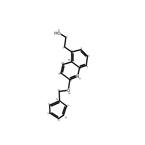 OCCc1cccc2nc(OCc3ccccc3)ccc12